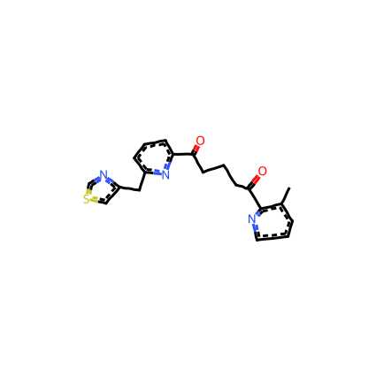 Cc1cccnc1C(=O)CCCC(=O)c1cccc(Cc2cscn2)n1